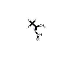 CCN/N=C(\C)C(F)(F)F